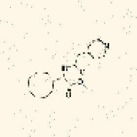 COC(=O)C(NC(=O)Cc1ccncc1)C1CCCCCCC1